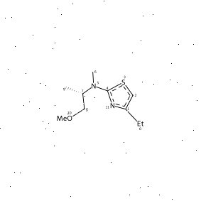 CCc1csc(N(C)[C@@H](C)COC)n1